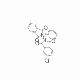 O=C1c2ccc(Cl)cc2C(=O)N1[N+]1(c2ccccc2)C(=O)c2ccccc2C1=O